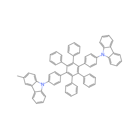 Cc1ccc2c(c1)c1ccccc1n2-c1ccc(-c2c(-c3ccccc3)c(-c3ccccc3)c(-c3ccc(-n4c5ccccc5c5ccccc54)cc3)c(-c3ccccc3)c2-c2ccccc2)cc1